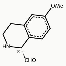 COc1ccc2c(c1)CCN[C@H]2C=O